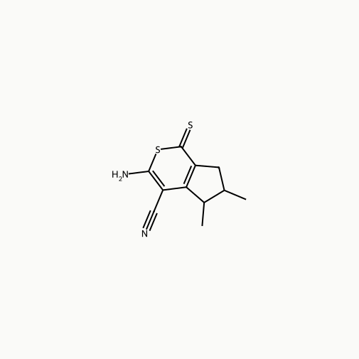 CC1Cc2c(c(C#N)c(N)sc2=S)C1C